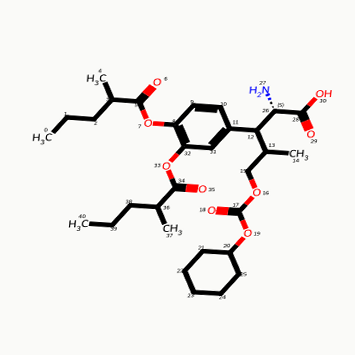 CCCC(C)C(=O)Oc1ccc(C(C(C)COC(=O)OC2CCCCC2)[C@H](N)C(=O)O)cc1OC(=O)C(C)CCC